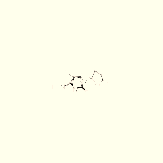 C[C@@H]1CC[C@H](n2cc(F)c(N)nc2=O)O1